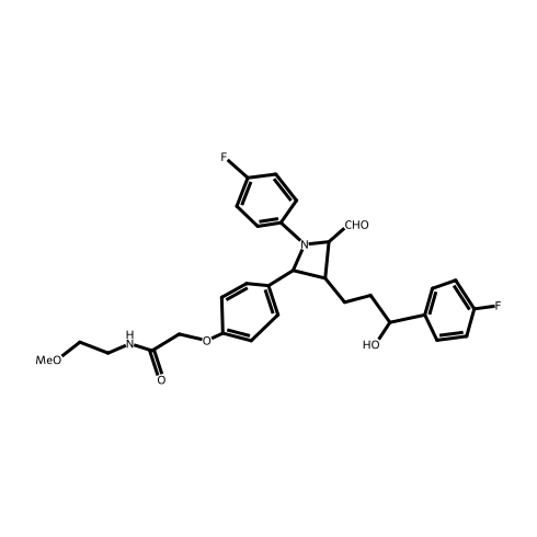 COCCNC(=O)COc1ccc(C2C(CCC(O)c3ccc(F)cc3)C(C=O)N2c2ccc(F)cc2)cc1